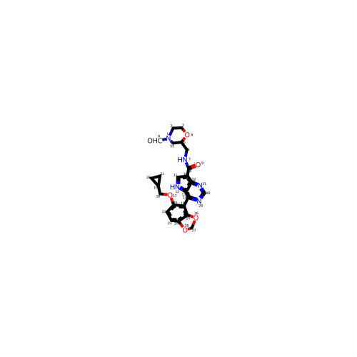 O=CN1CCOC(CNC(=O)c2c[nH]c3c(-c4c(OCC5CC5)ccc5c4OCO5)ncnc23)C1